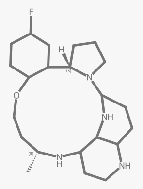 C[C@@H]1CCOC2CCC(F)CC2[C@@H]2CCCN2C2CCC3NCCC(N1)C3N2